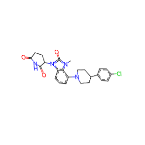 Cn1c(=O)n(C2CCC(=O)NC2=O)c2cccc(N3CCC(c4ccc(Cl)cc4)CC3)c21